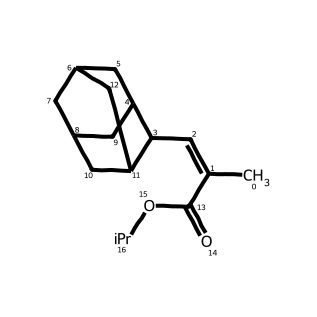 CC(=CC1C2CC3CC(C2)CC1C3)C(=O)OC(C)C